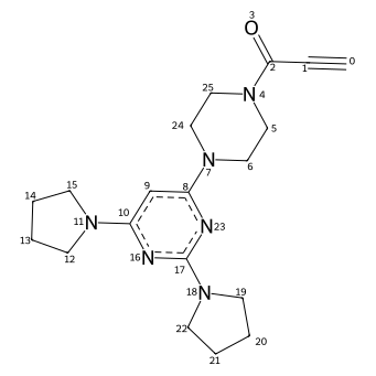 C#CC(=O)N1CCN(c2cc(N3CCCC3)nc(N3CCCC3)n2)CC1